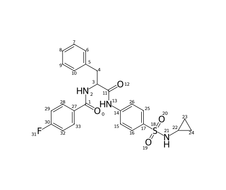 O=C(NC(Cc1ccccc1)C(=O)Nc1ccc(S(=O)(=O)NC2CC2)cc1)c1ccc(F)cc1